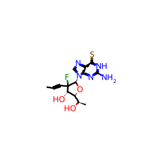 CC#CC1(F)[C@@H](O)[C@@H]([C@@H](C)O)O[C@H]1n1cnc2c(=S)[nH]c(N)nc21